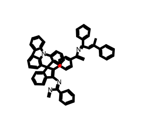 C=N/C(=N\C1=C(c2ccc(C(=C)/N=C(\C=C(/C)c3ccccc3)c3ccccc3)cc2)C2(c3ccccc31)c1ccccc1-n1c3ccccc3c3cccc2c31)c1ccccc1